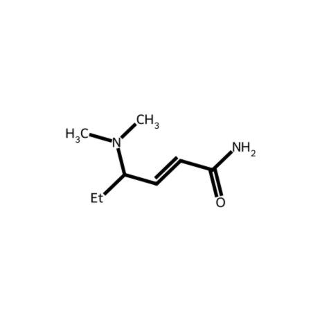 CCC(C=CC(N)=O)N(C)C